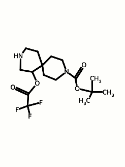 CC(C)(C)OC(=O)N1CCC2(CCNCC2OC(=O)C(F)(F)F)CC1